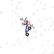 CCOC(=O)/C(C#N)=C(\C)CCCN(Cc1ccccc1)Cc1ccccc1